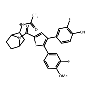 COc1ccc(-c2sc(C(=O)N3C4CCC3C(NC(=O)C(F)(F)F)C4)cc2-c2ccc(C#N)c(F)c2)cc1F